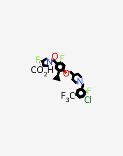 O=C(O)C1C[C@@H](F)CN1C(=O)c1cc(C2CC2)c(OCC2CCN(Cc3cc(C(F)(F)F)cc(Cl)c3F)CC2)cc1F